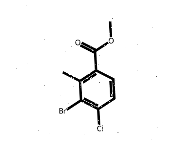 COC(=O)c1ccc(Cl)c(Br)c1C